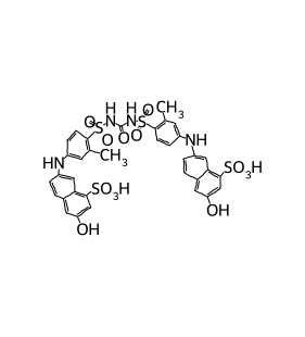 Cc1cc(Nc2ccc3cc(O)cc(S(=O)(=O)O)c3c2)ccc1S(=O)(=O)NC(=O)NS(=O)(=O)c1ccc(Nc2ccc3cc(O)cc(S(=O)(=O)O)c3c2)cc1C